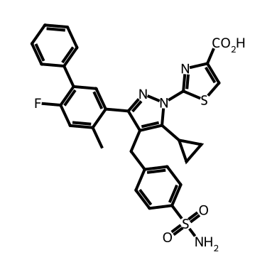 Cc1cc(F)c(-c2ccccc2)cc1-c1nn(-c2nc(C(=O)O)cs2)c(C2CC2)c1Cc1ccc(S(N)(=O)=O)cc1